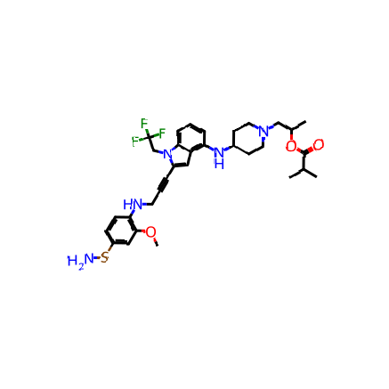 COc1cc(SN)ccc1NCC#Cc1cc2c(NC3CCN(CC(C)OC(=O)C(C)C)CC3)cccc2n1CC(F)(F)F